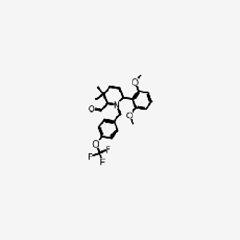 COc1cccc(OC)c1C1CCC(C)(C)C(C=O)N1Cc1ccc(OC(F)(F)F)cc1